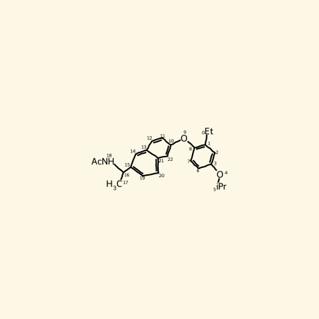 CCc1cc(OC(C)C)ccc1Oc1ccc2cc(C(C)NC(C)=O)ccc2c1